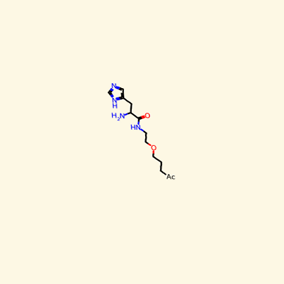 CC(=O)CCCOCCNC(=O)C(N)Cc1cnc[nH]1